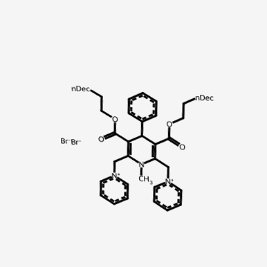 CCCCCCCCCCCCOC(=O)C1=C(C[n+]2ccccc2)N(C)C(C[n+]2ccccc2)=C(C(=O)OCCCCCCCCCCCC)C1c1ccccc1.[Br-].[Br-]